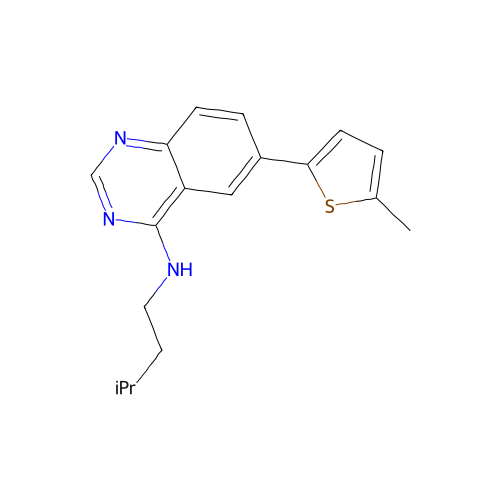 Cc1ccc(-c2ccc3ncnc(NCCC(C)C)c3c2)s1